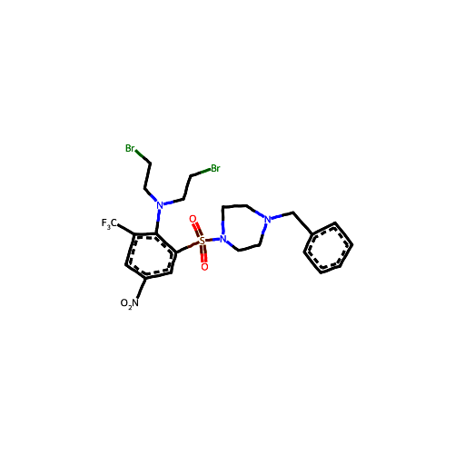 O=[N+]([O-])c1cc(C(F)(F)F)c(N(CCBr)CCBr)c(S(=O)(=O)N2CCN(Cc3ccccc3)CC2)c1